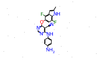 Cc1cc2c(F)c(Oc3ncnc(Nc4ccc(N)cc4)c3C#N)cc(F)c2[nH]1